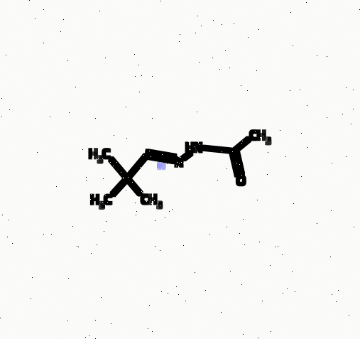 CC(=O)N/N=C/C(C)(C)C